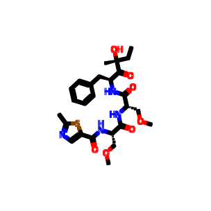 CC[C@@](C)(O)C(=O)[C@H](Cc1ccccc1)NC(=O)[C@H](COC)NC(=O)[C@H](COC)NC(=O)c1cnc(C)s1